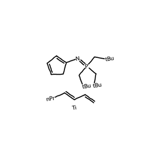 C=CC=CCCC.CC(C)(C)CP(CC(C)(C)C)(CC(C)(C)C)=NC1=CC=CC1.[Ti]